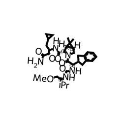 COC[C@@H](NC(=O)N[C@H](C(=O)N1C[C@H]2[C@@H]([C@H]1C(=O)NC(CC1CC1)C(=O)C(N)=O)C2(C)C)C1Cc2ccccc2C1)C(C)C